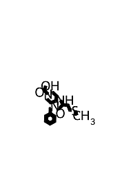 CSCCC1NC2(CCN(C(=O)O)CC2)N(Cc2ccccc2)C1=O